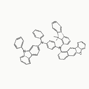 CC1(C)c2ccccc2-c2cccc(N(c3ccc(N(c4ccccc4)c4ccc5c6ccccc6n(-c6ccccc6)c5c4)cc3)c3cccc4cc5oc6ccccc6c5cc34)c21